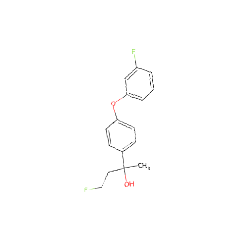 CC(O)(CCF)c1ccc(Oc2cccc(F)c2)cc1